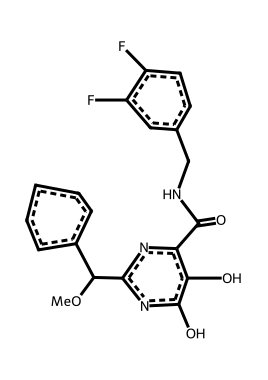 COC(c1ccccc1)c1nc(O)c(O)c(C(=O)NCc2ccc(F)c(F)c2)n1